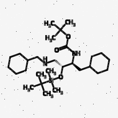 CC(C)(C)OC(=O)N[C@@H](CC1CCCCC1)[C@@H](CNCC1CCCCC1)O[Si](C)(C)C(C)(C)C